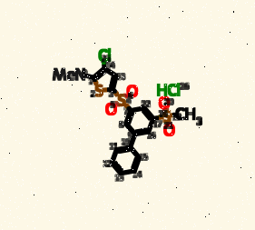 CNc1sc(S(=O)(=O)c2cc(-c3ccccc3)cc(S(C)(=O)=O)c2)cc1Cl.Cl